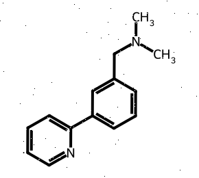 CN(C)Cc1cccc(-c2cc[c]cn2)c1